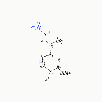 C=C(NC)C(C)/C=C\CC(CCC)CCN